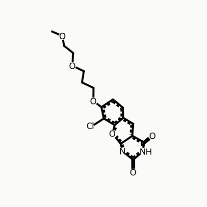 COCCOCCCOc1ccc2cc3c(=O)[nH]c(=O)nc-3oc2c1Cl